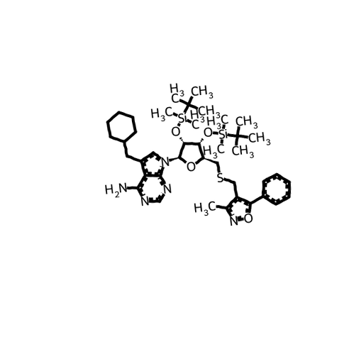 Cc1noc(-c2ccccc2)c1CSC[C@H]1O[C@@H](n2cc(CC3CCCCC3)c3c(N)ncnc32)[C@H](O[Si](C)(C)C(C)(C)C)[C@@H]1O[Si](C)(C)C(C)(C)C